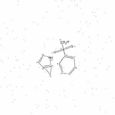 O=C(O)S(=O)(=O)c1ccccc1.c1cc2c([nH]1)C2